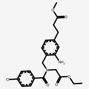 CCOC(=O)CN(Cc1ccc(CCC(=O)OC)cc1N)C(=O)c1ccc(Cl)cc1